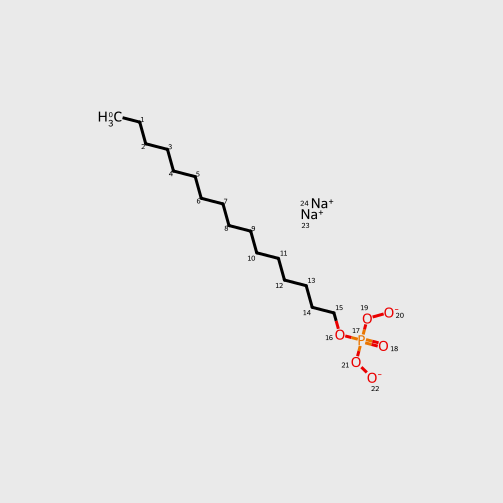 CCCCCCCCCCCCCCCCOP(=O)(O[O-])O[O-].[Na+].[Na+]